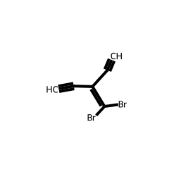 C#CC(C#C)=C(Br)Br